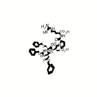 N=C(N)NCCC[C@H](NC(=O)[C@@H]1CCCN1C(=O)[C@H](CC(=O)O)NC(=O)[C@H](COCc1ccccc1)NC(=O)[C@H](CC(=O)OCc1ccccc1)NC(=O)OCc1ccccc1)C(=O)O